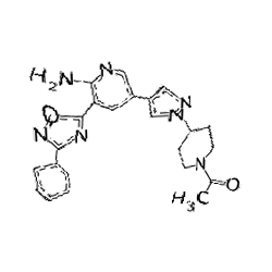 CC(=O)N1CCC(n2cc(-c3cnc(N)c(-c4nc(-c5ccccc5)no4)c3)cn2)CC1